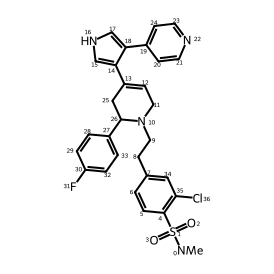 CNS(=O)(=O)c1ccc(CCN2CC=C(c3c[nH]cc3-c3ccncc3)CC2c2ccc(F)cc2)cc1Cl